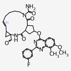 COc1ccc2c(OC3CC4C(=O)NC5([C]=O)CC5/C=C/CCCCN(C(N)=O)C(=O)C4C3)nc(-c3cccc(F)c3)nc2c1C